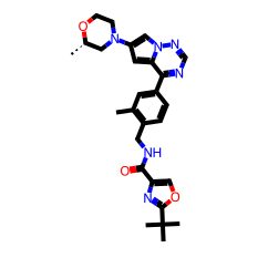 Cc1cc(-c2ncnn3cc(N4CCO[C@@H](C)C4)cc23)ccc1CNC(=O)c1coc(C(C)(C)C)n1